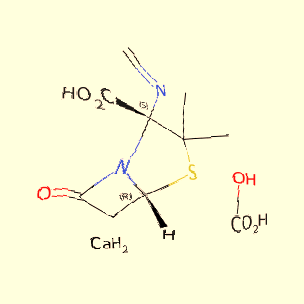 C=N[C@@]1(C(=O)O)N2C(=O)C[C@H]2SC1(C)C.O=C(O)O.[CaH2]